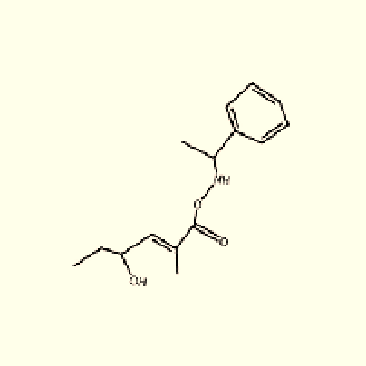 CCC(O)C=C(C)C(=O)ONC(C)c1ccccc1